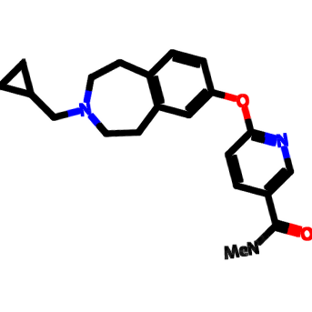 CNC(=O)c1ccc(Oc2ccc3c(c2)CCN(CC2CC2)CC3)nc1